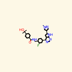 Cn1cc(-c2cc3c(-c4ccc(CNC(=O)c5ccc(C(C)(C)O)cc5)c(F)c4)ncnc3[nH]2)cn1